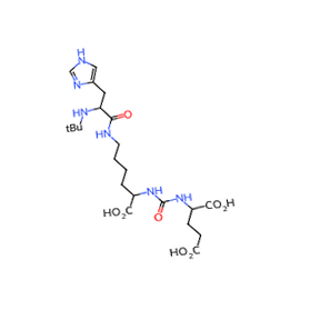 CC(C)(C)NC(Cc1c[nH]cn1)C(=O)NCCCCC(NC(=O)NC(CCC(=O)O)C(=O)O)C(=O)O